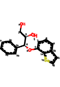 OC[C@H](O)[C@H](Oc1cccc2ccsc12)c1ccccc1